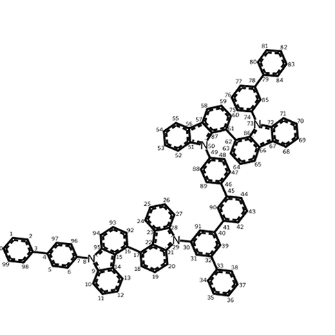 c1ccc(-c2ccc(-n3c4ccccc4c4c(-c5cccc6c5c5ccccc5n6-c5cc(-c6ccccc6)cc(-c6cccc(-c7ccc(-n8c9ccccc9c9cccc(-c%10cccc%11c%12ccccc%12n(-c%12cccc(-c%13ccccc%13)c%12)c%10%11)c98)cc7)c6)c5)cccc43)cc2)cc1